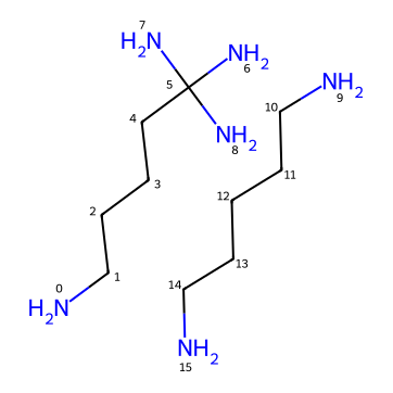 NCCCCC(N)(N)N.NCCCCCN